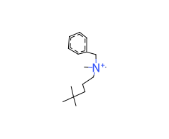 CC(C)(C)CCC[N+](C)(C)Cc1ccccc1